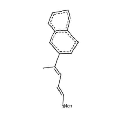 CCCCCCCCCC=CC=C(C)c1ccc2ccccc2c1